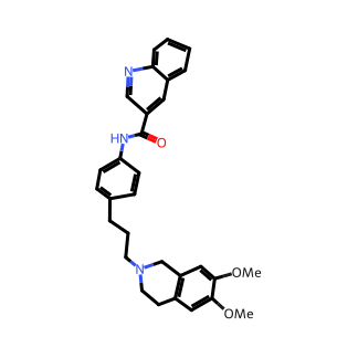 COc1cc2c(cc1OC)CN(CCCc1ccc(NC(=O)c3cnc4ccccc4c3)cc1)CC2